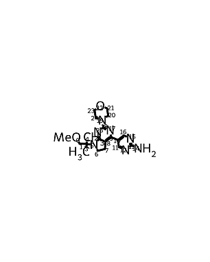 COCC(C)(C)N1CCc2c(-c3cnc(N)nc3)nc(N3CCOCC3)nc21